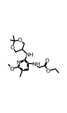 CCOC(=O)CNc1cc(C)c(OC)nc1NC1COC(C)(C)OC1